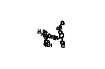 COC(=O)c1ccc(N2CCN(CC3=C(c4ccc(Cl)cc4)CCC4(CCN(C(=O)OCc5ccccc5)CC4)C3)CC2)cc1Oc1cnc2[nH]ccc2c1